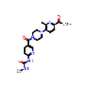 CCNC(=O)Nc1ccc(C(=O)N2CCN(c3ccc(C(=O)NC)nc3C)CC2)cn1